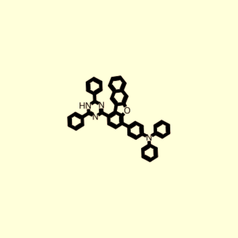 c1ccc(C2=NC(c3ccc(-c4ccc(N(c5ccccc5)c5ccccc5)cc4)c4oc5cc6ccccc6cc5c34)=NC(c3ccccc3)N2)cc1